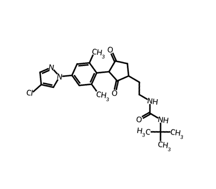 Cc1cc(-n2cc(Cl)cn2)cc(C)c1C1C(=O)CC(CCNC(=O)NC(C)(C)C)C1=O